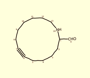 O=CC1CCCCC#CCCCCCCN1